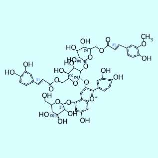 COc1cc(/C=C/C(=O)OCC2O[C@@H](OC3C(O)[C@H](O)C(COC(=O)/C=C/c4ccc(O)c(O)c4)O[C@H]3Oc3cc4c(O[C@@H]5OC(CO)[C@@H](O)[C@H](O)C5O)cc(O)cc4[o+]c3-c3ccc(O)c(O)c3)[C@H](O)C(O)[C@@H]2O)ccc1O